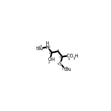 CC(C)(C)NC(O)CC(SC(C)(C)C)C(=O)O